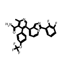 Cc1ncc(-c2cccn3c(-c4cccc(F)c4F)ncc23)c(-c2ccc(OC(F)(F)F)cc2)c1C(N)=O